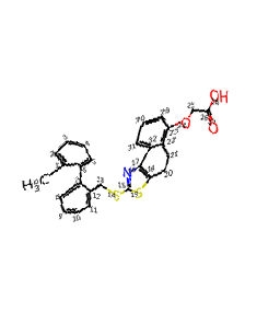 Cc1ccccc1-c1ccccc1CSc1nc2c(s1)CCc1c(OCC(=O)O)cccc1-2